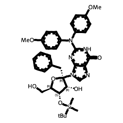 COc1ccc(N(c2ccc(OC)cc2)c2nc3c(ncn3[C@]3(Cc4ccccc4)O[C@H](CO)[C@@H](O[Si](C)(C)C(C)(C)C)[C@H]3O)c(=O)[nH]2)cc1